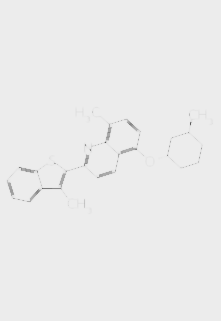 Cc1c(-c2ccc3c(O[C@H]4CCC[C@H](C)C4)ccc(C)c3n2)sc2ccccc12